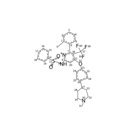 Cc1ccccc1-c1nc(NS(=O)(=O)c2ccccc2)cc(Oc2ccc(C3CCN(C)CC3)cc2)c1C(F)(F)F